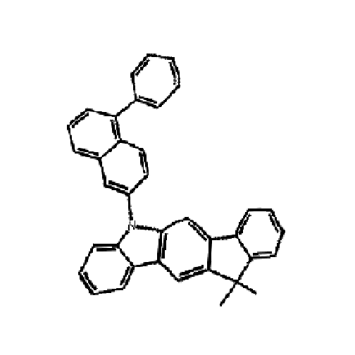 CC1(C)c2ccccc2-c2cc3c(cc21)c1ccccc1n3-c1ccc2c(-c3ccccc3)cccc2c1